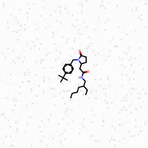 CCCCC(CC)CNC(=O)CC1CCC(=O)N1Cc1ccc(C(C)(C)C)cc1